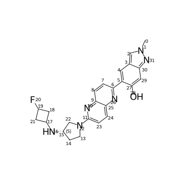 Cn1cc2cc(-c3ccc4nc(N5CC[C@H](NC6CC(F)C6)C5)ccc4n3)c(O)cc2n1